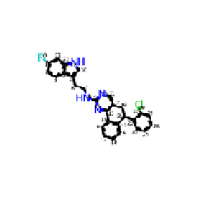 Fc1ccc2c(CCNc3ncc4c(n3)-c3ccccc3C(c3ccccc3Cl)C4)c[nH]c2c1